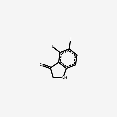 O=C1CNc2ccc(F)c(I)c21